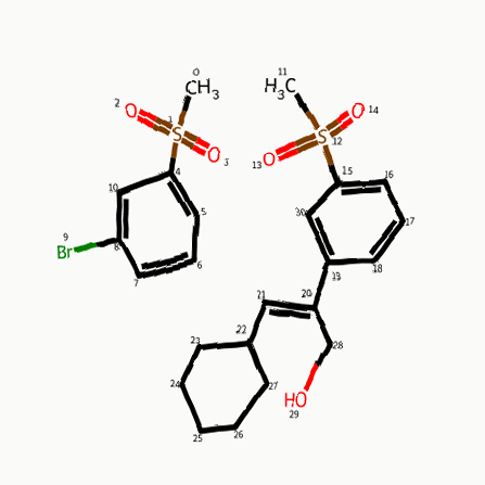 CS(=O)(=O)c1cccc(Br)c1.CS(=O)(=O)c1cccc(C(=CC2CCCCC2)CO)c1